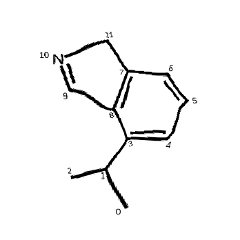 CC(C)c1cccc2c1C=NC2